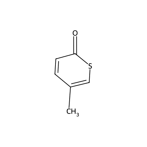 Cc1ccc(=O)sc1